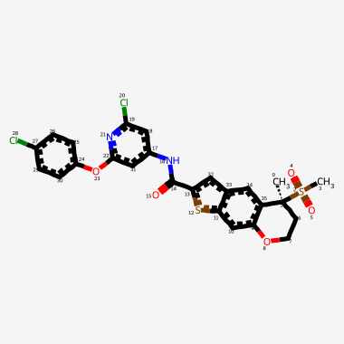 C[C@]1(S(C)(=O)=O)CCOc2cc3sc(C(=O)Nc4cc(Cl)nc(Oc5ccc(Cl)cc5)c4)cc3cc21